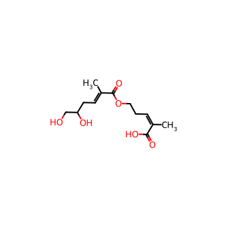 CC(=CCCOC(=O)C(C)=CCC(O)CO)C(=O)O